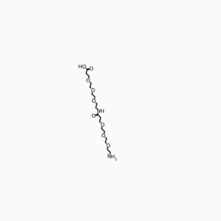 NCCOCCOCCOCCC(=O)NCCOCCOCCOCCC(=O)O